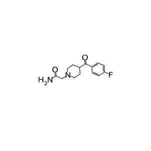 NC(=O)CN1CCC(C(=O)c2ccc(F)cc2)CC1